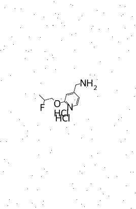 CC(F)COc1cc(CN)ccn1.Cl.Cl